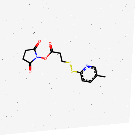 Cc1ccc(SSCCC(=O)ON2C(=O)CCC2=O)nc1